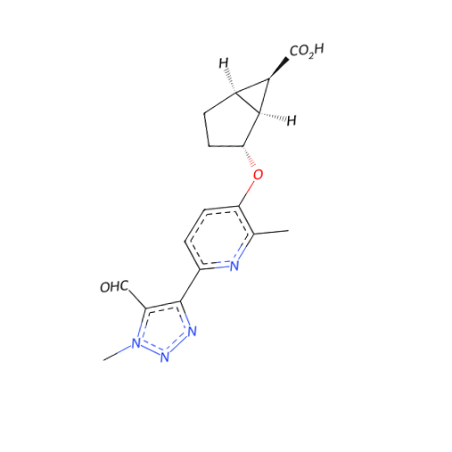 Cc1nc(-c2nnn(C)c2C=O)ccc1O[C@@H]1CC[C@H]2[C@@H](C(=O)O)[C@H]21